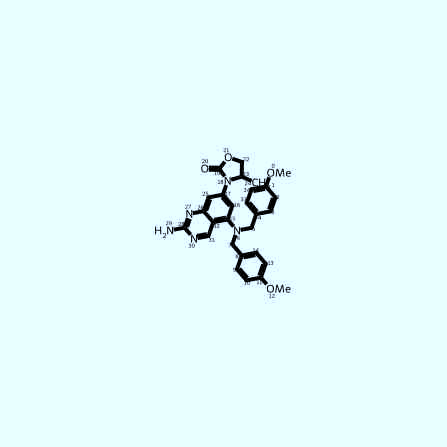 COc1ccc(CN(Cc2ccc(OC)cc2)c2cc(N3C(=O)OCC3C)cc3nc(N)ncc23)cc1